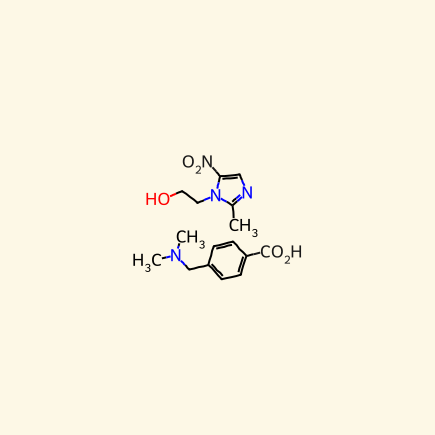 CN(C)Cc1ccc(C(=O)O)cc1.Cc1ncc([N+](=O)[O-])n1CCO